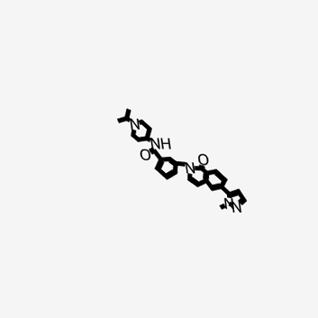 CC(C)N1CCC(NC(=O)c2cccc(Cn3ccc4cc(-c5ccnn5C)ccc4c3=O)c2)CC1